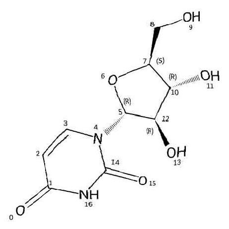 O=c1ccn([C@@H]2O[C@@H](CO)[C@H](O)[C@H]2O)c(=O)[nH]1